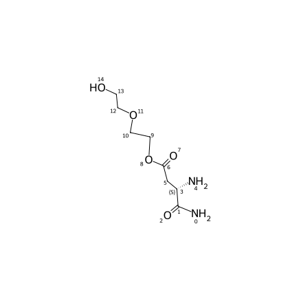 NC(=O)[C@@H](N)CC(=O)OCCOCCO